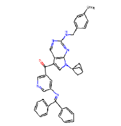 COc1ccc(CNc2ncc3c(C(=O)c4cncc(N=C(c5ccccc5)c5ccccc5)c4)cn(C45CC(C4)C5)c3n2)cc1